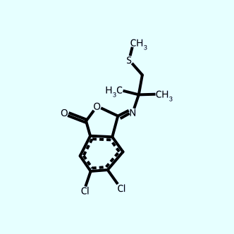 CSCC(C)(C)N=C1OC(=O)c2cc(Cl)c(Cl)cc21